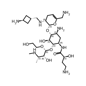 CN[C@@H](C)[C@@H](O)[C@H](OCCO)O[C@@H]1[C@@H](O)[C@H](O[C@H]2OC(CN)=CC[C@H]2NC[C@H]2C[C@H](N)C2)[C@@H](N)C[C@H]1NC(=O)[C@@H](O)CCN